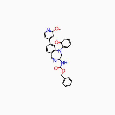 COc1cc(-c2ccc3c(c2)N(C2=CC=CCC2=O)CC(NC(=O)OCc2ccccc2)N=C3)ccn1